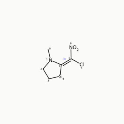 CN1CCS/C1=C(\Cl)[N+](=O)[O-]